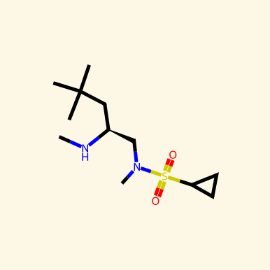 CN[C@H](CN(C)S(=O)(=O)C1CC1)CC(C)(C)C